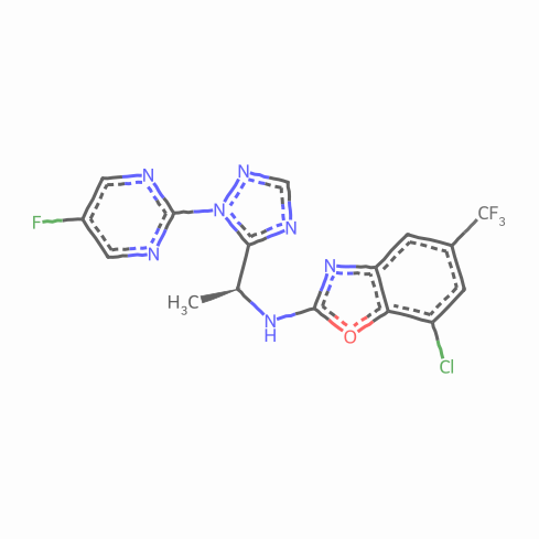 C[C@H](Nc1nc2cc(C(F)(F)F)cc(Cl)c2o1)c1ncnn1-c1ncc(F)cn1